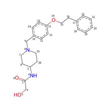 O=C(CO)NC1CCN(Cc2ccc(OCCc3ccccc3)cc2)CC1